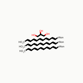 CCCCCCCCCC=CC=CC=CC=CC=CC(=O)O.CCCCCCCCCC=CC=CC=CC=CC=CC(=O)O.CCCCCCCCCC=CC=CC=CC=CC=CC(=O)O.OCC(O)CO